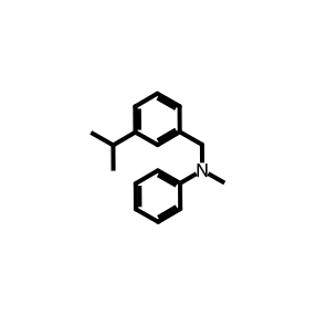 CC(C)c1cccc(CN(C)c2ccccc2)c1